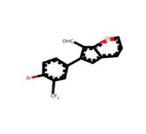 O=Cc1c(-c2ccc(Br)c(C(F)(F)F)c2)cc2cccoc1-2